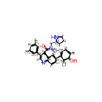 CN(C[C@@H]1CCCN1)C(=O)c1c(-c2cc(F)cc(F)c2)cnc2ccc(-c3cccc(O)c3Cl)cc12